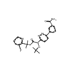 CC(C)(C)ON(C(=O)CC(C)(C)c1ncccc1F)c1ccc(-c2cccc(C(N)=O)c2)nn1